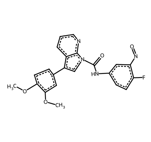 COc1ccc(-c2cn(C(=O)Nc3ccc(F)c(N=O)c3)c3ncccc23)cc1OC